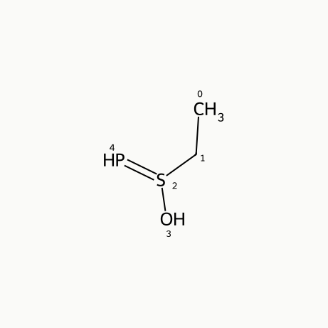 CCS(O)=P